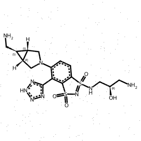 NC[C@@H](O)CNS1(=O)=NS(=O)(=O)c2c1ccc(N1C[C@@H]3[C@@H](CN)[C@@H]3C1)c2-c1nn[nH]n1